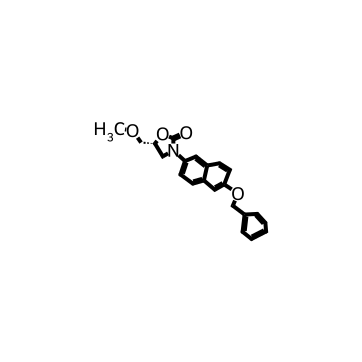 COC[C@H]1CN(c2ccc3cc(OCc4ccccc4)ccc3c2)C(=O)O1